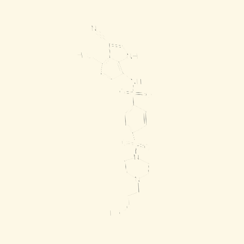 COCCN1CCN(S(=O)(=O)c2ccc(S(=O)(=O)Nc3ccc(C)c4c(C#N)c[nH]c34)cc2)CC1